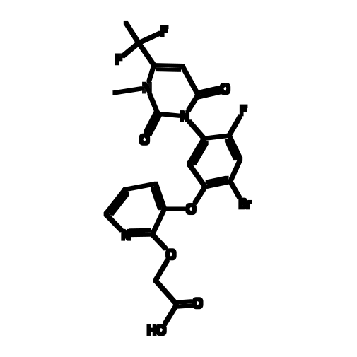 Cn1c(C(C)(F)F)cc(=O)n(-c2cc(Oc3cccnc3OCC(=O)O)c(Br)cc2F)c1=O